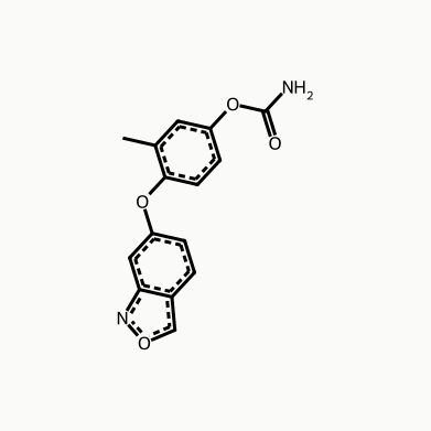 Cc1cc(OC(N)=O)ccc1Oc1ccc2conc2c1